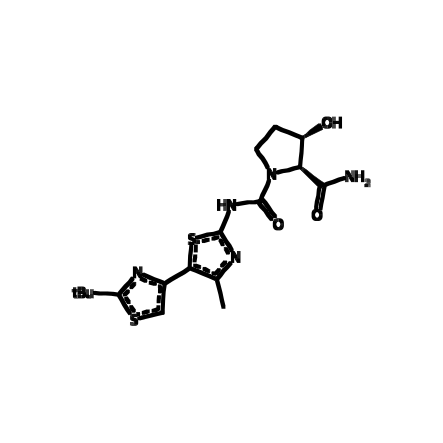 Cc1nc(NC(=O)N2CC[C@@H](O)[C@H]2C(N)=O)sc1-c1csc(C(C)(C)C)n1